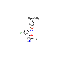 C=C(C)c1ccc(S(=O)(=O)Nc2ccc(Cl)cc2C(=O)c2cccnc2C)cc1